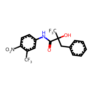 O=C(Nc1ccc([N+](=O)[O-])c(C(F)(F)F)c1)C(O)(Cc1ccccc1)C(F)(F)F